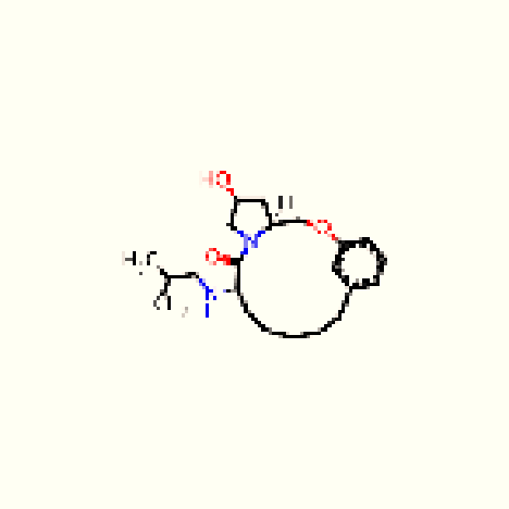 CC(C)CN[C@H]1CCCCCc2cccc(c2)OC[C@@H]2C[C@H](O)CN2C1=O